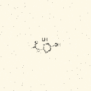 CC(=O)Oc1ccc(O)cc1.[LiH]